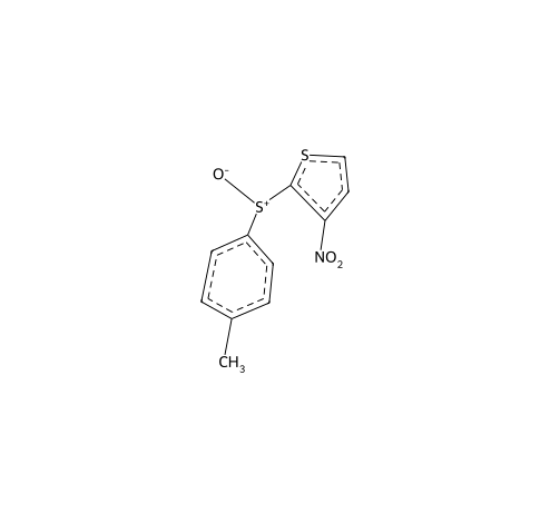 Cc1ccc([S+]([O-])c2sccc2[N+](=O)[O-])cc1